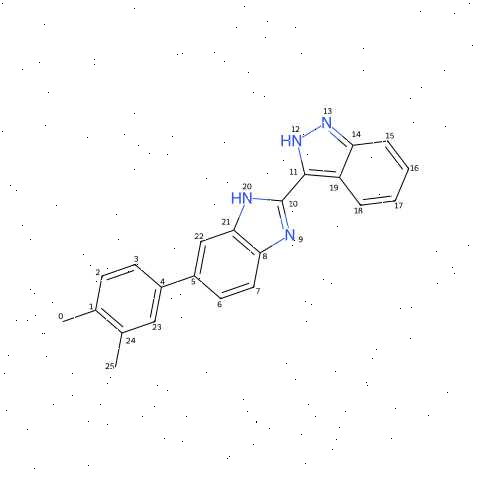 Cc1ccc(-c2ccc3nc(-c4[nH]nc5ccccc45)[nH]c3c2)cc1C